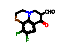 O=CC1CN2CCSc3c(F)c(F)cc(c32)C1=O